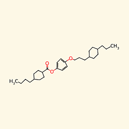 CCCCC1CCC(C(=O)Oc2ccc(OCCCC3CCC(CCC)CC3)cc2)CC1